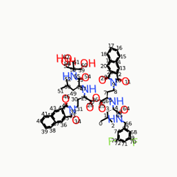 CC(C)C[C@H](N[C@H](CCN1C(=O)c2cc3ccccc3cc2C1=O)C(=O)OC(=O)[C@@H](CCN1C(=O)c2cc3ccccc3cc2C1=O)N[C@@H](CC(C)C)C(=O)NC(CO)(CO)CO)C(=O)NCc1cc(F)cc(F)c1